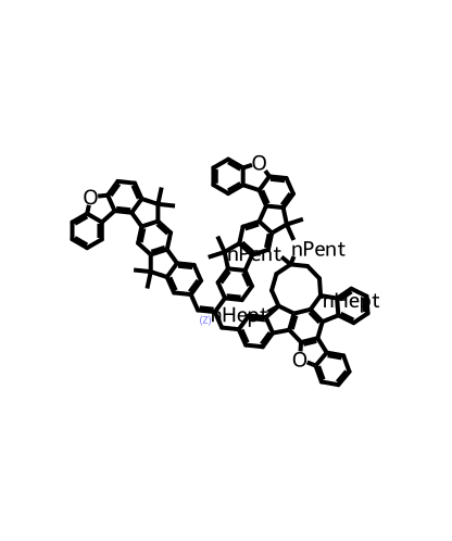 CCCCCCCC12CCC(CCCCC)(CCCCC)CCC3(CCCCCCC)c4ccccc4-c4c3c1c(c1oc3ccccc3c41)-c1ccc(C/C(=C/c3ccc4c(c3)C(C)(C)c3cc5c(cc3-4)C(C)(C)c3ccc4oc6ccccc6c4c3-5)c3ccc4c(c3)C(C)(C)c3cc5c(cc3-4)C(C)(C)c3ccc4oc6ccccc6c4c3-5)cc12